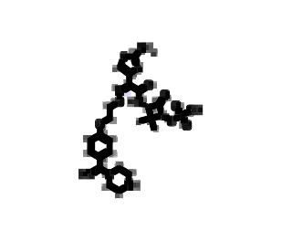 CC1(C)[C@H](NC(=O)/C(=N\OCCOc2ccc(C(=N)N3CCNCC3)cc2)c2csc(N)n2)C(=O)N1OS(=O)(=O)O